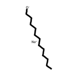 CCCCCCCCCCCC[O-].[Na+]